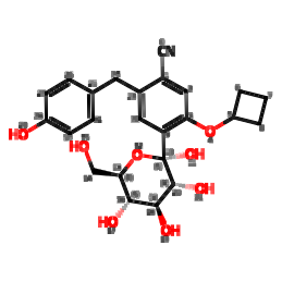 N#Cc1cc(OC2CCC2)c([C@]2(O)O[C@H](CO)[C@@H](O)[C@H](O)[C@H]2O)cc1Cc1ccc(O)cc1